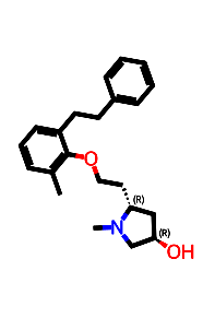 Cc1cccc(CCc2ccccc2)c1OCC[C@@H]1C[C@@H](O)CN1C